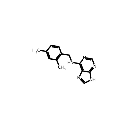 Cc1ccc(CNc2ncnc3[nH]cnc23)c(C)c1